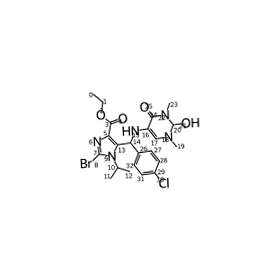 CCOC(=O)c1nc(Br)n(C(C)C)c1C(NC1=CN(C)C(O)N(C)C1=O)c1ccc(Cl)cc1